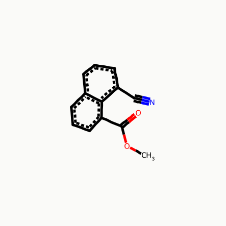 COC(=O)c1cccc2cccc(C#N)c12